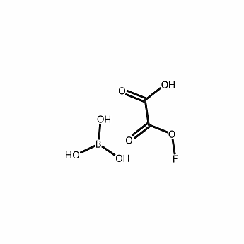 O=C(O)C(=O)OF.OB(O)O